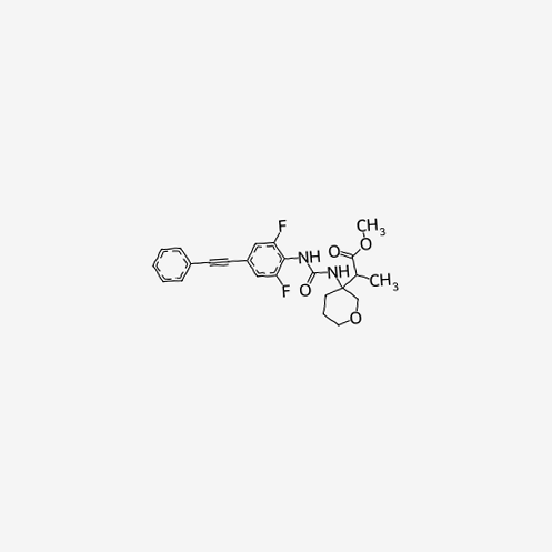 COC(=O)C(C)C1(NC(=O)Nc2c(F)cc(C#Cc3ccccc3)cc2F)CCCOC1